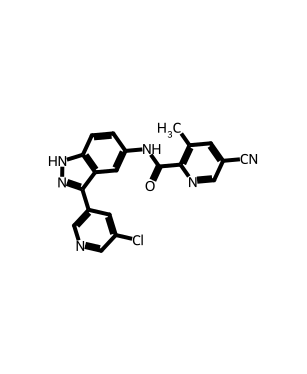 Cc1cc(C#N)cnc1C(=O)Nc1ccc2[nH]nc(-c3cncc(Cl)c3)c2c1